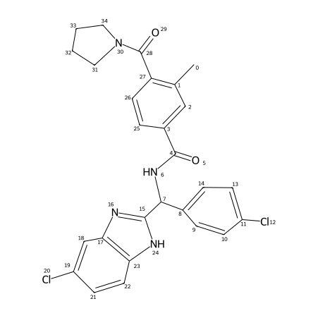 Cc1cc(C(=O)NC(c2ccc(Cl)cc2)c2nc3cc(Cl)ccc3[nH]2)ccc1C(=O)N1CCCC1